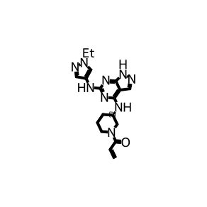 C=CC(=O)N1CCC[C@@H](Nc2nc(Nc3cnn(CC)c3)nc3[nH]ncc23)C1